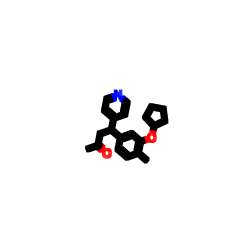 CC(=O)CC(c1ccncc1)c1ccc(C)c(OC2CCCC2)c1